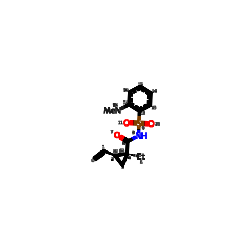 C=C[C@@H]1C[C@]1(CC)C(=O)NS(=O)(=O)c1ccccc1NC